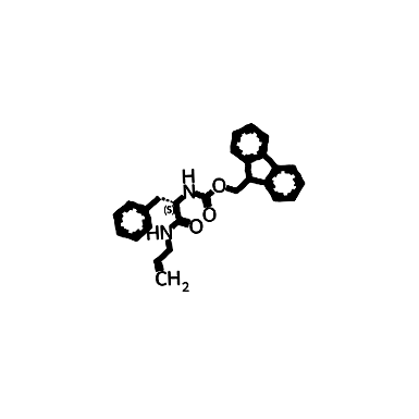 C=CCNC(=O)[C@H](Cc1ccccc1)NC(=O)OCC1c2ccccc2-c2ccccc21